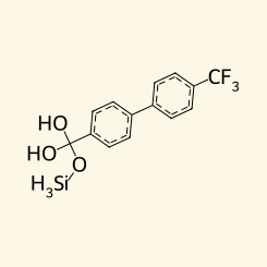 OC(O)(O[SiH3])c1ccc(-c2ccc(C(F)(F)F)cc2)cc1